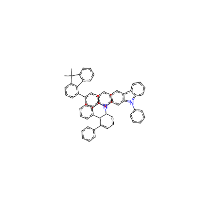 CC1(C)c2ccccc2-c2c(-c3ccc(N(c4ccc5c6ccccc6n(-c6ccccc6)c5c4)C4C=CC=C(c5ccccc5)C4c4ccccc4-c4ccccc4)cc3)cccc21